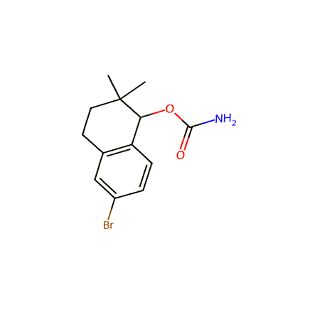 CC1(C)CCc2cc(Br)ccc2C1OC(N)=O